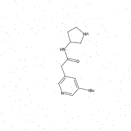 CC(C)(C)c1cncc(CC(=O)NC2CCNC2)c1